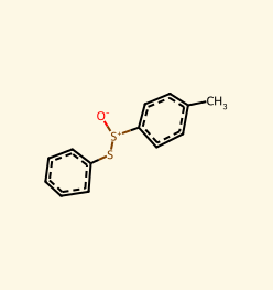 Cc1ccc([S+]([O-])Sc2ccccc2)cc1